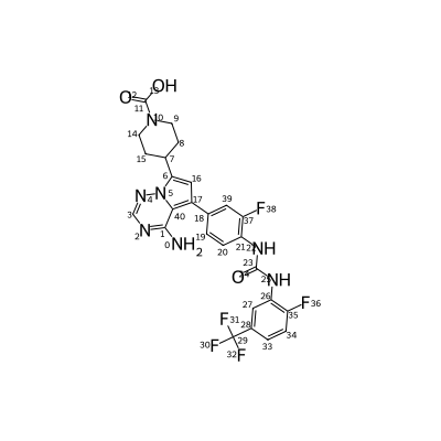 Nc1ncnn2c(C3CCN(C(=O)O)CC3)cc(-c3ccc(NC(=O)Nc4cc(C(F)(F)F)ccc4F)c(F)c3)c12